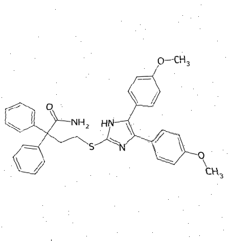 COc1ccc(-c2nc(SCCC(C(N)=O)(c3ccccc3)c3ccccc3)[nH]c2-c2ccc(OC)cc2)cc1